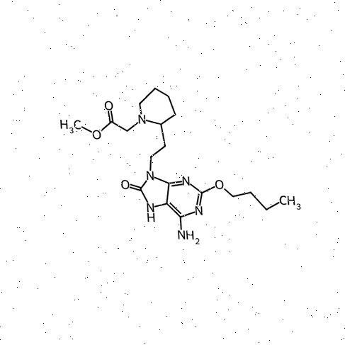 CCCCOc1nc(N)c2[nH]c(=O)n(CCC3CCCCN3CC(=O)OC)c2n1